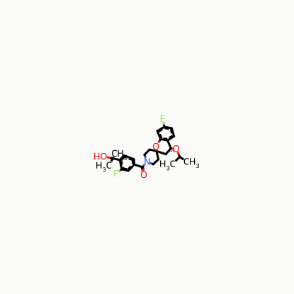 CC(C)O[C@H]1CC2(CCN(C(=O)c3ccc(C(C)(C)O)c(F)c3)CC2)Oc2cc(F)ccc21